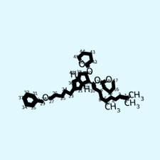 CC(C)=CCC[C@@H](C)CCC=C(OC1CCCCO1)[C@H]1[C@@H]2CC(CCCCCOCc3ccccc3)=C[C@@H]2C[C@@H]1OC1CCCCO1